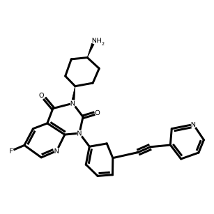 N[C@H]1CC[C@@H](n2c(=O)c3cc(F)cnc3n(C3=CC=CC(C#Cc4cccnc4)C3)c2=O)CC1